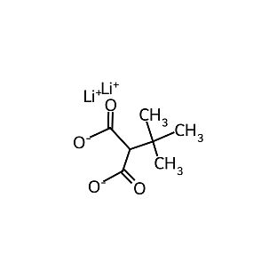 CC(C)(C)C(C(=O)[O-])C(=O)[O-].[Li+].[Li+]